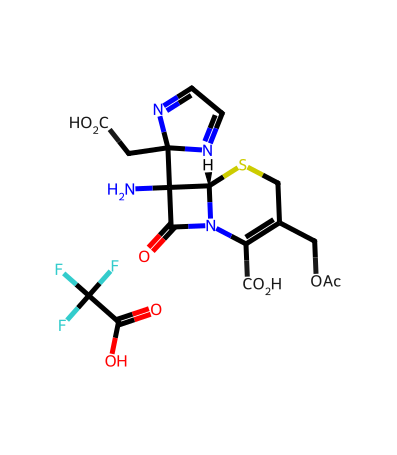 CC(=O)OCC1=C(C(=O)O)N2C(=O)C(N)(C3(CC(=O)O)N=CC=N3)[C@@H]2SC1.O=C(O)C(F)(F)F